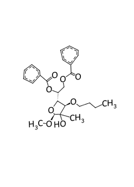 CCCCO[C@@H]1[C@@H](C(COC(=O)c2ccccc2)OC(=O)c2ccccc2)O[C@H](OC)C1(C)O